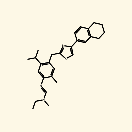 CCN(C)/C=N/c1cc(C(C)C)c(Cc2nc(-c3ccc4c(c3)CCCC4)cs2)cc1C